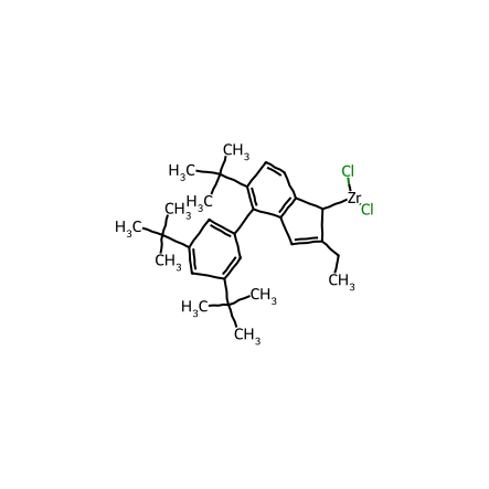 CCC1=Cc2c(ccc(C(C)(C)C)c2-c2cc(C(C)(C)C)cc(C(C)(C)C)c2)[CH]1[Zr]([Cl])[Cl]